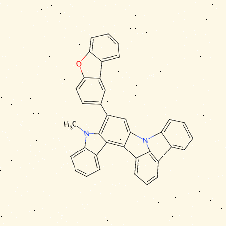 Cn1c2ccccc2c2c3c4cccc5c6ccccc6n(c3cc(-c3ccc6oc7ccccc7c6c3)c21)c54